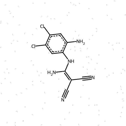 N#CC(C#N)=C(N)Nc1cc(Cl)c(Cl)cc1N